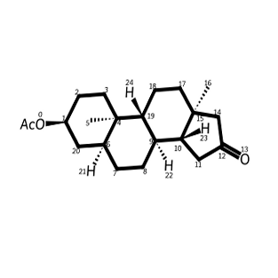 CC(=O)O[C@H]1CC[C@]2(C)[C@@H](CC[C@@H]3[C@H]4CC(=O)C[C@]4(C)CC[C@H]32)C1